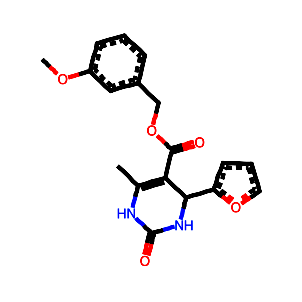 COc1cccc(COC(=O)C2=C(C)NC(=O)NC2c2ccco2)c1